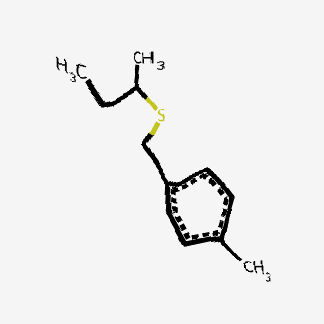 CCC(C)SCc1ccc(C)cc1